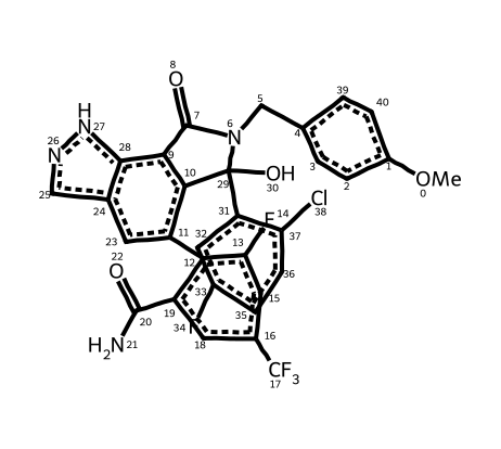 COc1ccc(CN2C(=O)c3c(c(-c4c(F)cc(C(F)(F)F)cc4C(N)=O)cc4cn[nH]c34)C2(O)c2cc(F)ccc2Cl)cc1